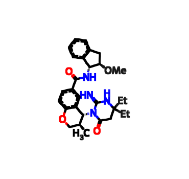 CCC1(CC)CC(=O)N([C@H]2c3cc(C(=O)N[C@@H]4c5ccccc5C[C@H]4OC)ccc3OC[C@@H]2C)C(=N)N1